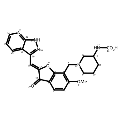 COc1ccc2c(c1CN1CCCC(NC(=O)O)C1)OC(=Cc1n[nH]c3ncccc13)C2=O